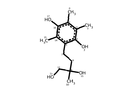 Cc1c(C)c(O)c(CCC(C)(O)CO)c(C)c1O